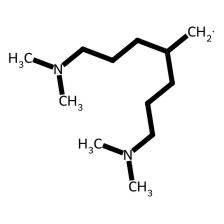 [CH2]C(CCCN(C)C)CCCN(C)C